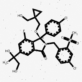 CC(O)(CO)c1cc(F)c2c(c1)C(=O)N(Cc1ccc(Cl)cc1S(C)(=O)=O)[C@@]2(OCC1(CO)CC1)c1ccc(Cl)cc1